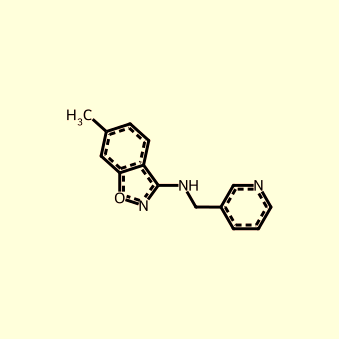 Cc1ccc2c(NCc3cccnc3)noc2c1